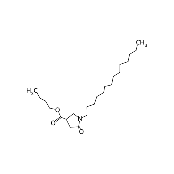 CCCCCCCCCCCCCCN1CC(C(=O)OCCCC)CC1=O